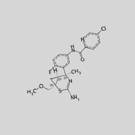 COC[C@]12C[C@H]1[C@@](C)(c1cc(NC(=O)c3ccc(Cl)cn3)ccc1F)N=C(N)S2